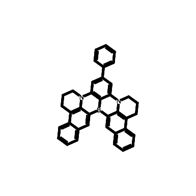 c1ccc(-c2cc3c4c(c2)N2CCCc5c2c(cc2ccccc52)B4c2cc4ccccc4c4c2N3CCC4)cc1